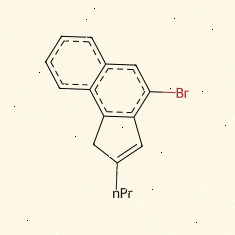 CCCC1=Cc2c(Br)cc3ccccc3c2C1